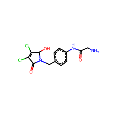 NCC(=O)Nc1ccc(CN2C(=O)C(Cl)=C(Cl)C2O)cc1